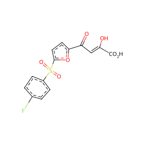 O=C(O)/C(O)=C/C(=O)c1ccc(S(=O)(=O)c2ccc(F)cc2)o1